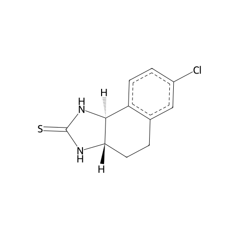 S=C1N[C@H]2CCc3cc(Cl)ccc3[C@@H]2N1